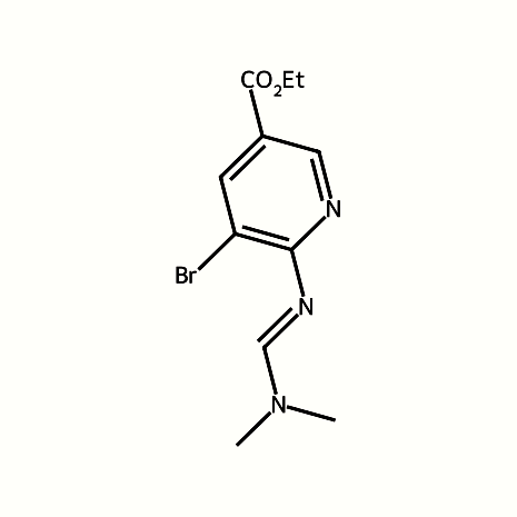 CCOC(=O)c1cnc(N=CN(C)C)c(Br)c1